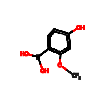 OB(O)c1ccc(O)cc1OC(F)(F)F